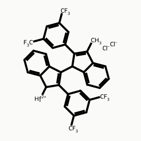 CC1=C(c2cc(C(F)(F)F)cc(C(F)(F)F)c2)C(C2=C(c3cc(C(F)(F)F)cc(C(F)(F)F)c3)[CH]([Hf+2])c3ccccc32)c2ccccc21.[Cl-].[Cl-]